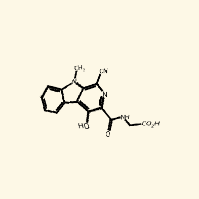 Cn1c2ccccc2c2c(O)c(C(=O)NCC(=O)O)nc(C#N)c21